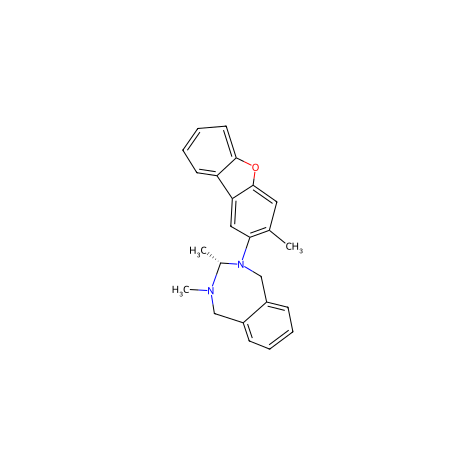 Cc1cc2oc3ccccc3c2cc1N1Cc2ccccc2CN(C)[C@@H]1C